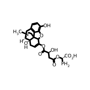 CN1CCC23c4c5ccc(O)c4OC2C(OC(=O)[C@@H](O)CC(=O)O[C@@H](P)C(=O)O)=CC[C@@]3(O)[C@H]1C5